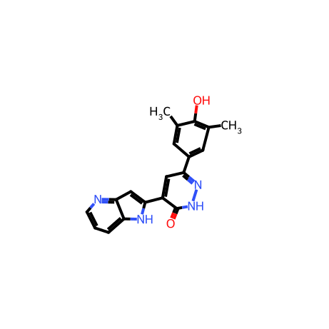 Cc1cc(-c2cc(-c3cc4ncccc4[nH]3)c(=O)[nH]n2)cc(C)c1O